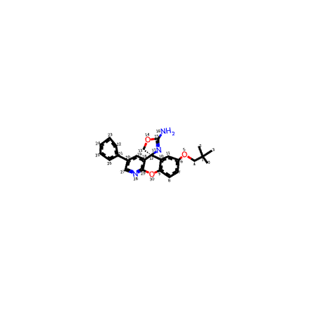 CC(C)(C)COc1ccc2c(c1)[C@@]1(COC(N)=N1)c1cc(-c3ccccc3)cnc1O2